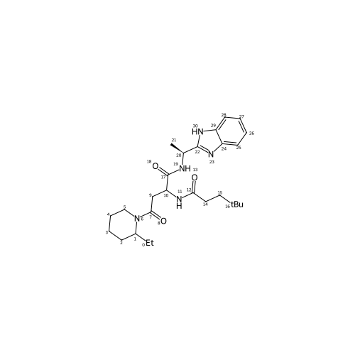 CCC1CCCCN1C(=O)CC(NC(=O)CCC(C)(C)C)C(=O)N[C@@H](C)c1nc2ccccc2[nH]1